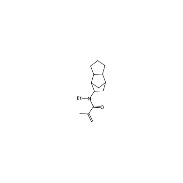 C=C(C)C(=O)N(CC)C1CC2CC1C1CCCC21